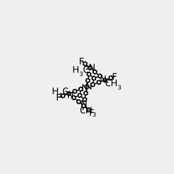 Cc1cc(-c2ccc(-c3ccccc3-c3cc(-c4ccccc4-c4ccc(-c5cnc(-c6ccc(-c7ccccc7-c7cc(-c8ccccc8-c8ccc(-c9cc(C)c(-c%10ccc(F)cc%10)cn9)cc8)cc(-c8ccccc8-c8ccc(-c9cc(C)c(-c%10ccc(F)cc%10)cn9)cc8)c7)cc6)cn5)cc4)cc(-c4ccccc4-c4ccc(-c5cc(C)c(-c6ccc(F)cc6)cn5)cc4)c3)cc2)ncc1-c1ccc(F)cc1